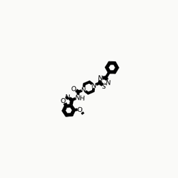 COc1cccc2onc(NC(=O)N3CCN(c4nc(-c5ccccc5)ns4)CC3)c12